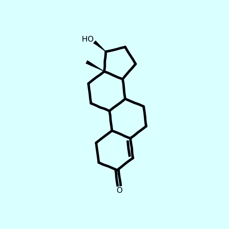 C[C@]12CCC3C4CCC(=O)C=C4CCC3C1CC[C@@H]2O